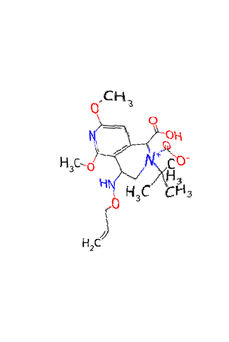 C=CCONC1C[N+](C(=O)[O-])(C(C)(C)C)C(C(=O)O)c2cc(OC)nc(OC)c21